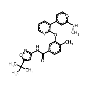 CNc1cc(-c2cccnc2Oc2cc(C(=O)Nc3cc(C(C)(C)C)on3)ccc2C)ccn1